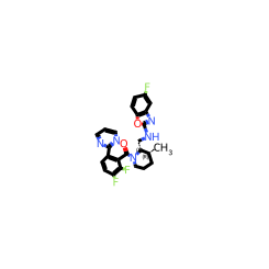 C[C@@H]1CCCN(C(=O)c2c(-c3ncccn3)ccc(F)c2F)[C@@H]1CNc1nc2cc(F)ccc2o1